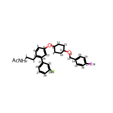 CC(=O)NCCc1ccc(OC2CCC(OCc3ccc(I)cc3)CC2)cc1-c1cccc(F)c1